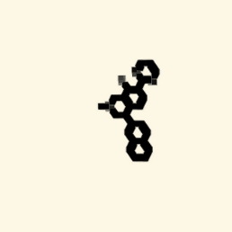 CN1Cc2c(ccc(-c3ncccn3)c2F)C(c2ccc3ccccc3c2)C1